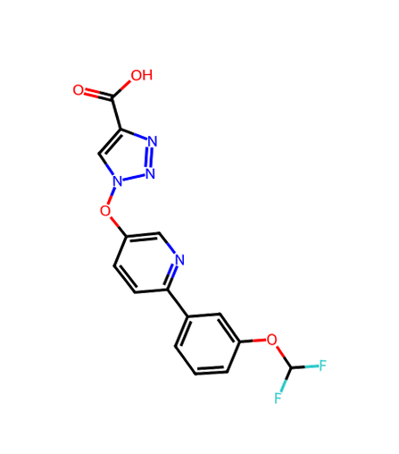 O=C(O)c1cn(Oc2ccc(-c3cccc(OC(F)F)c3)nc2)nn1